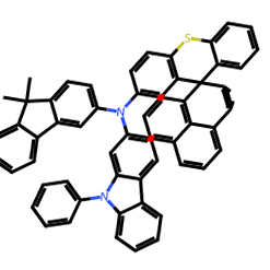 CC1(C)c2ccccc2-c2cc(N(c3ccc4c(c3)C3(c5ccccc5S4)c4ccccc4-c4cccc5cccc3c45)c3ccc4c5ccccc5n(-c5ccccc5)c4c3)ccc21